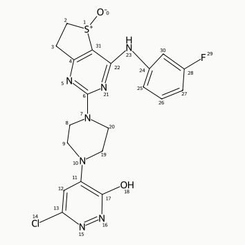 [O-][S+]1CCc2nc(N3CCN(c4cc(Cl)nnc4O)CC3)nc(Nc3cccc(F)c3)c21